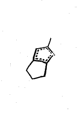 Cc1cc2c(s1)CCC2